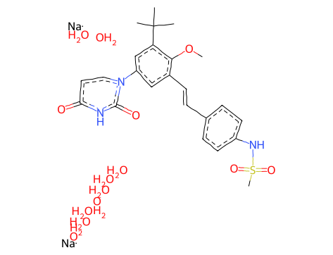 COc1c(C=Cc2ccc(NS(C)(=O)=O)cc2)cc(-n2ccc(=O)[nH]c2=O)cc1C(C)(C)C.O.O.O.O.O.O.O.O.O.[Na].[Na]